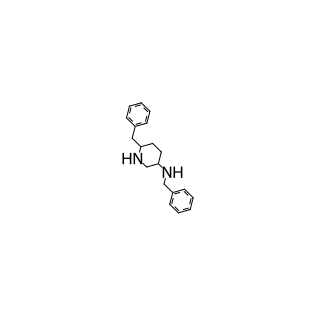 c1ccc(CNC2CCC(Cc3ccccc3)NC2)cc1